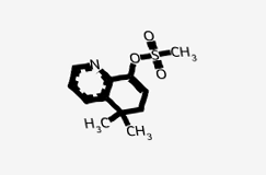 CC1(C)CC=C(OS(C)(=O)=O)c2ncccc21